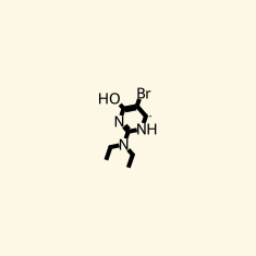 CCN(CC)C1=NC(O)=C(Br)[CH]N1